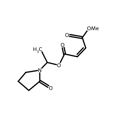 COC(=O)/C=C\C(=O)OC(C)N1CCCC1=O